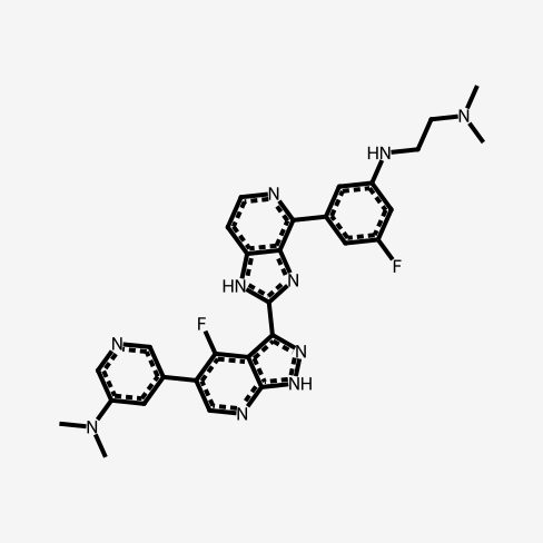 CN(C)CCNc1cc(F)cc(-c2nccc3[nH]c(-c4n[nH]c5ncc(-c6cncc(N(C)C)c6)c(F)c45)nc23)c1